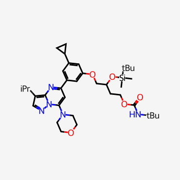 CC(C)c1cnn2c(N3CCOCC3)cc(-c3cc(OCC(CCOC(=O)NC(C)(C)C)O[Si](C)(C)C(C)(C)C)cc(C4CC4)c3)nc12